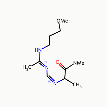 CNC(=O)C(C)/N=C\N=C(/C)NCCCOC